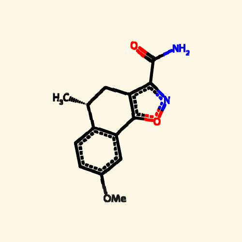 COc1ccc2c(c1)-c1onc(C(N)=O)c1C[C@H]2C